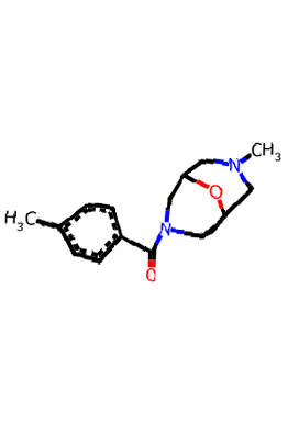 Cc1ccc(C(=O)N2CC3CN(C)CC(C2)O3)cc1